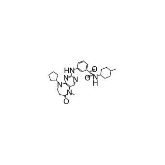 CC1CCC(NS(=O)(=O)c2cccc(Nc3ncc4c(n3)N(C3CCCC3)CCC(=O)N4C)c2)CC1